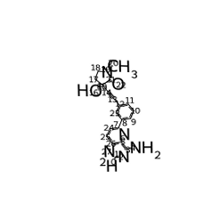 [2H]c1nc(N)c2nc(-c3cccc(C#C[C@]4(O)CCN(C)C4=O)c3)ccc2n1